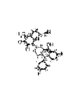 Cn1c(=O)c(Cl)c(N2CCN(C(c3ccc(F)cc3)c3ccc(F)cc3)C(C(=O)O)C2)c2nc(C#N)ccc21